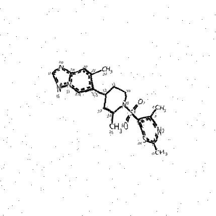 Cc1nc(C)c(S(=O)(=O)N2CCC(c3cn4ncnc4cc3C)CC2C)s1